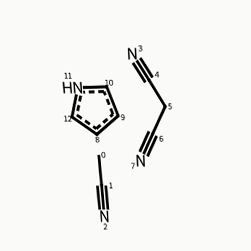 CC#N.N#CCC#N.c1cc[nH]c1